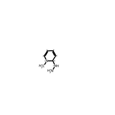 CN1C=CC=CC1NN